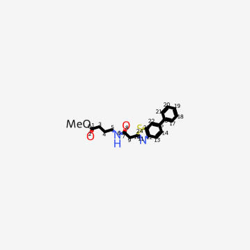 COC(=O)CCCNC(=O)Cc1nc2ccc(-c3ccccc3)cc2s1